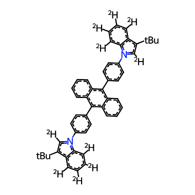 [2H]c1c([2H])c([2H])c2c(c1[2H])c(C(C)(C)C)c([2H])n2-c1ccc(-c2c3ccccc3c(-c3ccc(-n4c([2H])c(C(C)(C)C)c5c([2H])c([2H])c([2H])c([2H])c54)cc3)c3ccccc23)cc1